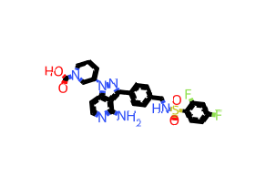 Nc1nccc2c1c(-c1ccc(CNS(=O)(=O)c3ccc(F)cc3F)cc1)nn2[C@@H]1CCCN(C(=O)O)C1